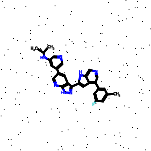 Cc1cc(F)cc(-c2cncc3[nH]c(-c4n[nH]c5ncc(-c6cncc(NC(C)C)c6)cc45)cc23)c1